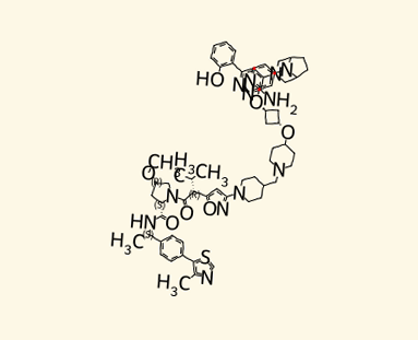 CO[C@@H]1C[C@@H](C(=O)N[C@@H](C)c2ccc(-c3scnc3C)cc2)N(C(=O)[C@@H](c2cc(N3CCC(CN4CCC(O[C@H]5C[C@H](Oc6cc(N7C8CCC7CN(c7cc(-c9ccccc9O)nnc7N)C8)ccn6)C5)CC4)CC3)no2)C(C)C)C1